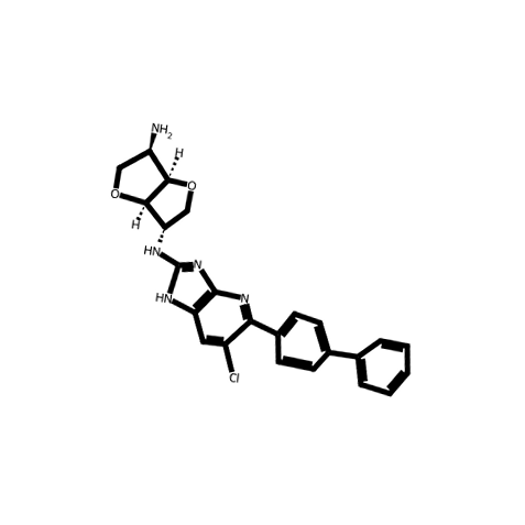 N[C@@H]1CO[C@H]2[C@@H]1OC[C@@H]2Nc1nc2nc(-c3ccc(-c4ccccc4)cc3)c(Cl)cc2[nH]1